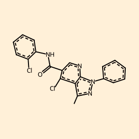 Cc1nn(-c2ccccc2)c2ncc(C(=O)Nc3ccccc3Cl)c(Cl)c12